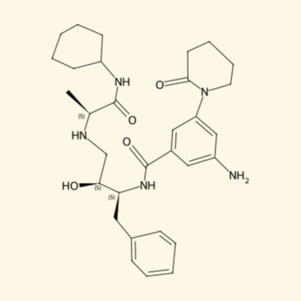 C[C@H](NC[C@H](O)[C@H](Cc1ccccc1)NC(=O)c1cc(N)cc(N2CCCCC2=O)c1)C(=O)NC1CCCCC1